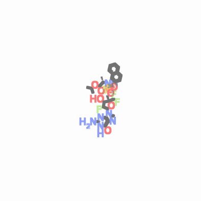 CC(C)OC(=O)[C@H](C)NP(=S)(OC[C@@]1(C(F)F)O[C@@H](n2cnc3c(=O)[nH]c(N)nc32)[C@H](F)[C@@H]1O)Oc1ccc2ccccc2c1